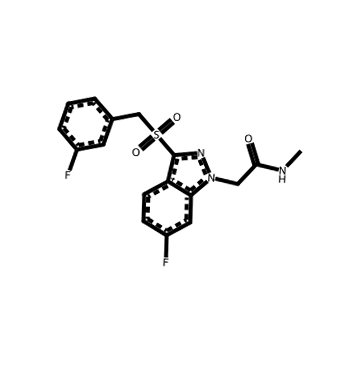 CNC(=O)Cn1nc(S(=O)(=O)Cc2cccc(F)c2)c2ccc(F)cc21